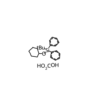 CC(C)(C)[Si](OC1CCCCC1)(c1ccccc1)c1ccccc1.O=C(O)O